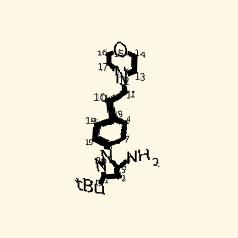 CC(C)(C)c1cc(N)n(-c2ccc(CCN3CCOCC3)cc2)n1